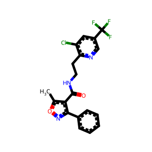 Cc1onc(-c2ccccc2)c1C(=O)NCCc1ncc(C(F)(F)F)cc1Cl